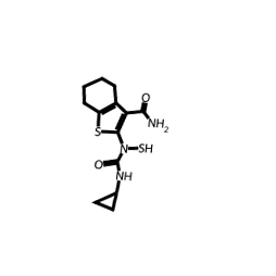 NC(=O)c1c(N(S)C(=O)NC2CC2)sc2c1CCCC2